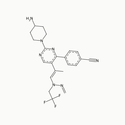 C=NN(/C=C(\C)c1cnc(N2CCC(N)CC2)nc1-c1ccc(C#N)cc1)CC(F)(F)F